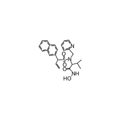 C=CC(c1ccc2ccccc2c1)S(=O)(=O)N(Cc1ccccn1)C(C(=O)NO)C(C)C